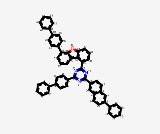 c1ccc(-c2ccc(-c3nc(-c4ccc5cc(-c6ccccc6)ccc5c4)nc(-c4cccc5oc6c(-c7ccc(-c8ccccc8)cc7)cccc6c45)n3)cc2)cc1